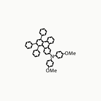 COc1ccc(N(c2ccc(OC)cc2)c2ccc3c(c2)c2ccccc2c2c(-c4ccccc4)cc(-c4ccccc4)c(-c4ccccc4)c32)cc1